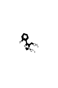 CCc1c(-c2ccccc2F)ncn1C